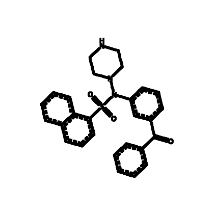 O=C(c1ccccc1)c1cccc(N(N2CCNCC2)S(=O)(=O)c2cccc3ccccc23)c1